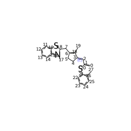 C=C(/C=C1\CCC(CC2Sc3ccccc3N2C)=C1C)Sc1ccccc1C